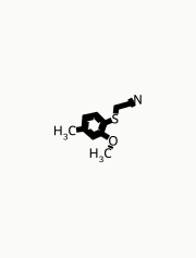 COc1cc(C)ccc1SCC#N